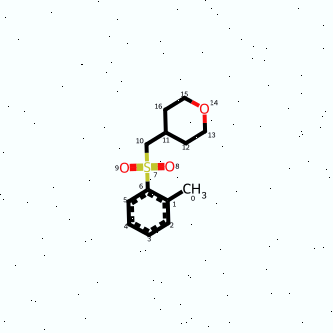 Cc1ccccc1S(=O)(=O)CC1CCOCC1